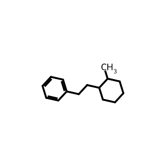 CC1CCCCC1CCc1ccccc1